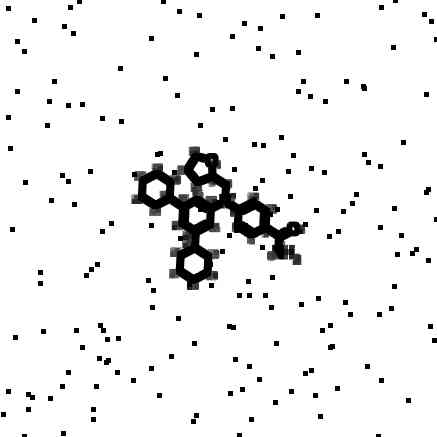 NC(=O)c1ccc(N(CC2CCCO2)c2cc(C3CCCCC3)cc(C3CCCCC3)c2)cc1